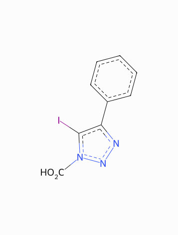 O=C(O)n1nnc(-c2ccccc2)c1I